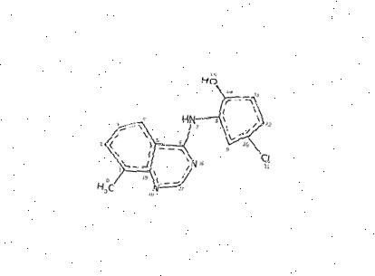 Cc1cccc2c(Nc3cc(Cl)ccc3O)ncnc12